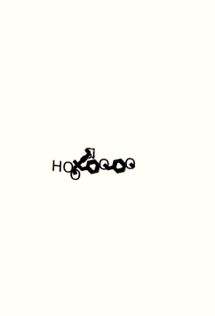 COc1ccc(COc2ccc(CC(C)(C#C[Si](C)(C)C)C(=O)O)cc2)cc1